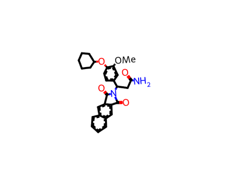 COc1cc(C(CC(N)=O)N2C(=O)c3cc4ccccc4cc3C2=O)ccc1OC1CCCCC1